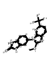 COc1nc2ccc(C(F)(F)F)nc2n1-c1ccc2[nH]c(=O)sc2c1